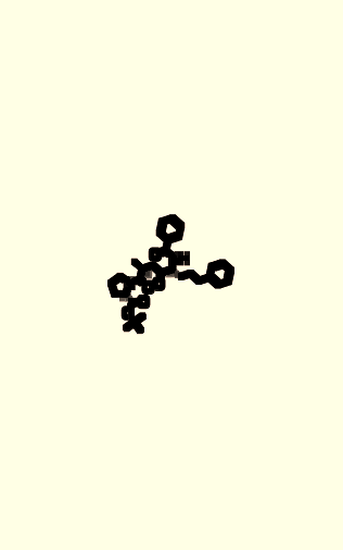 C[C@@H](CC(=O)[C@@H](CCCc1ccccc1)NC(=O)c1ccccc1)C(=O)N1CCC[C@H]1C(=O)OC(C)(C)C